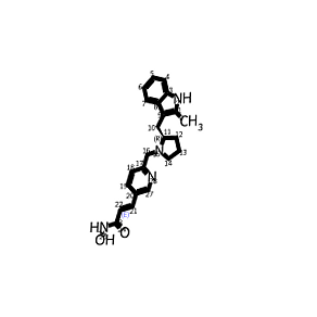 Cc1[nH]c2ccccc2c1C[C@H]1CCCN1Cc1ccc(/C=C/C(=O)NO)cn1